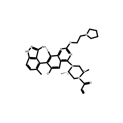 C=CC(=O)N1C[C@H](C)N(c2nc(OCCN3CCCC3)nc3c(F)c(-c4c(C)ccc5[nH]nc(N)c45)c(Cl)cc23)C[C@H]1C